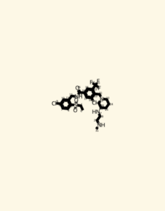 CCS(=O)(=O)c1ccc(Cl)cc1CNC(=O)c1cc(Cl)c(CN2CCC[C@H](NCCNC)C2)c(C(F)(F)F)c1